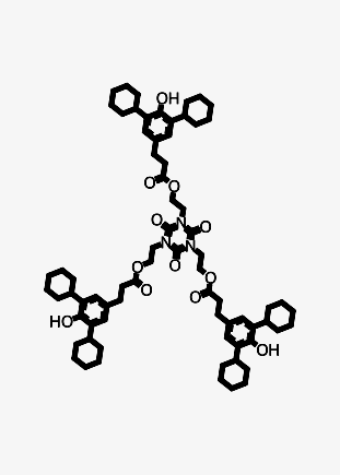 O=C(CCc1cc(C2CCCCC2)c(O)c(C2CCCCC2)c1)OCCn1c(=O)n(CCOC(=O)CCc2cc(C3CCCCC3)c(O)c(C3CCCCC3)c2)c(=O)n(CCOC(=O)CCc2cc(C3CCCCC3)c(O)c(C3CCCCC3)c2)c1=O